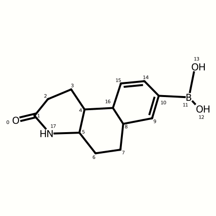 O=C1CCC2C(CCC3C=C(B(O)O)C=CC32)N1